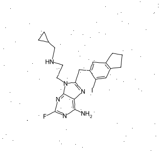 Nc1nc(F)nc2c1nc(Cc1cc3c(cc1I)CCC3)n2CCNCC1CC1